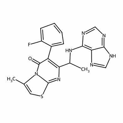 Cc1csc2nc(C(C)Nc3ncnc4[nH]cnc34)c(-c3ccccc3F)c(=O)n12